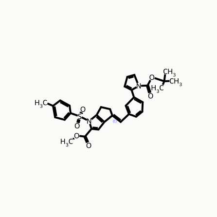 COC(=O)c1cc2c(n1S(=O)(=O)c1ccc(C)cc1)CC/C2=C\c1cccc(-c2cccn2C(=O)OC(C)(C)C)c1